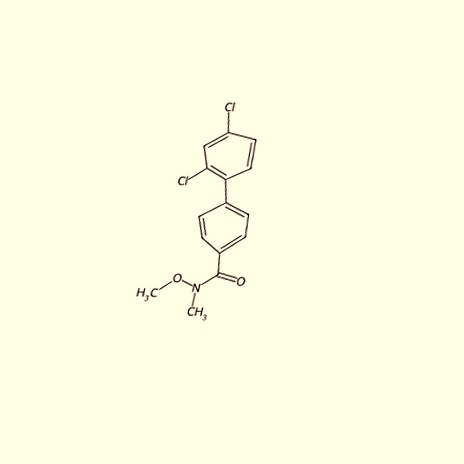 CON(C)C(=O)c1ccc(-c2ccc(Cl)cc2Cl)cc1